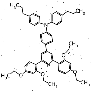 CCCc1ccc(N(c2ccc(CCC)cc2)c2ccc(-c3cc(-c4ccc(OCC)cc4OCC)nc(-c4ccc(OCC)cc4OCC)c3)cc2)cc1